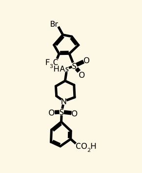 O=C(O)c1cccc(S(=O)(=O)N2CCC([AsH]S(=O)(=O)c3ccc(Br)cc3C(F)(F)F)CC2)c1